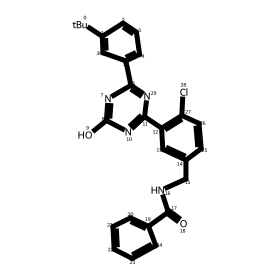 CC(C)(C)c1cccc(-c2nc(O)nc(-c3cc(CNC(=O)c4ccccc4)ccc3Cl)n2)c1